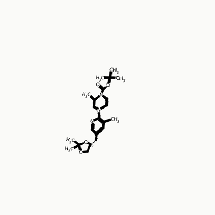 Cc1cc(C[C@@H]2COC(C)(C)O2)cnc1N1CCN(C(=O)OC(C)(C)C)C(C)C1